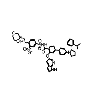 CC(C)c1ccccc1[C@@H]1CCCN1c1ccc(-c2ccc(C(=O)NS(=O)(=O)c3ccc(NC[C@@H]4COCCO4)c([N+](=O)[O-])c3)c(Oc3cnc4[nH]ccc4c3)c2)cc1